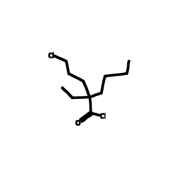 CCCCC(CC)(CCCCl)C(=O)Cl